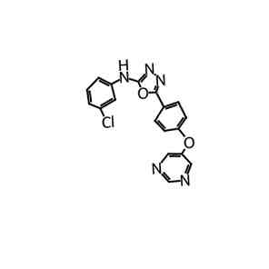 Clc1cccc(Nc2nnc(-c3ccc(Oc4cncnc4)cc3)o2)c1